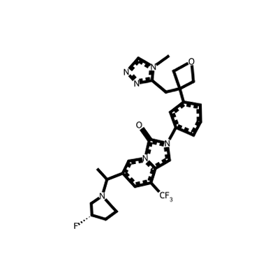 CC(c1cc(C(F)(F)F)c2cn(-c3cccc(C4(Cc5nncn5C)COC4)c3)c(=O)n2c1)N1CC[C@H](F)C1